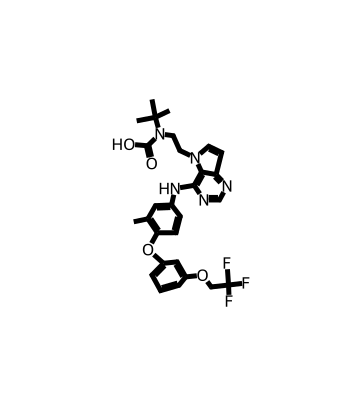 Cc1cc(Nc2ncnc3ccn(CCN(C(=O)O)C(C)(C)C)c23)ccc1Oc1cccc(OCC(F)(F)F)c1